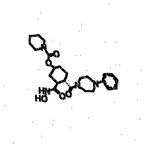 O=C(NO)[C@H]1C[C@@H](OC(=O)N2CCCCC2)CC[C@@H]1C(=O)N1CCN(c2ccccc2)CC1